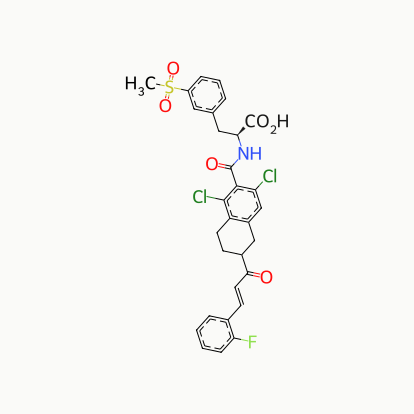 CS(=O)(=O)c1cccc(C[C@H](NC(=O)c2c(Cl)cc3c(c2Cl)CCC(C(=O)/C=C/c2ccccc2F)C3)C(=O)O)c1